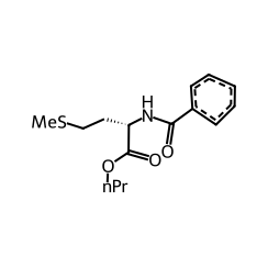 CCCOC(=O)[C@H](CCSC)NC(=O)c1ccccc1